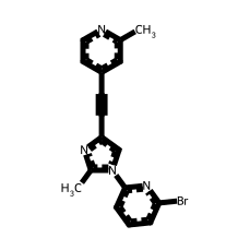 Cc1cc(C#Cc2cn(-c3cccc(Br)n3)c(C)n2)ccn1